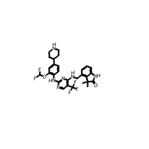 CC1(C)C(=O)Nc2cccc(CNc3nc(Nc4ccc(C5CCNCC5)cc4OC(F)F)ncc3C(F)(F)F)c21